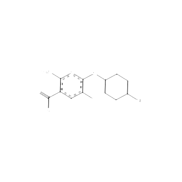 CNc1nc(NC2CCC(N)CC2)c(F)cc1C(N)=O